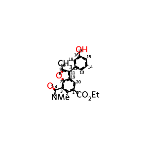 CCOC(=O)c1cc(C(=O)NC)c2oc(C)c(-c3cccc(O)c3)c2c1